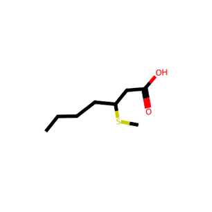 CCCCC(CC(=O)O)SC